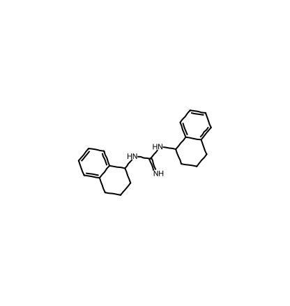 N=C(NC1CCCc2ccccc21)NC1CCCc2ccccc21